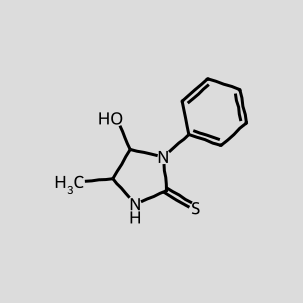 CC1NC(=S)N(c2ccccc2)C1O